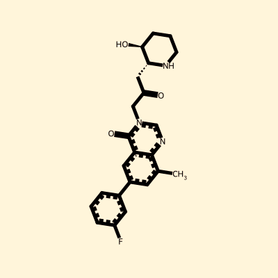 Cc1cc(-c2cccc(F)c2)cc2c(=O)n(CC(=O)C[C@H]3NCCC[C@@H]3O)cnc12